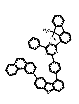 CC1(C)c2ccccc2-c2cccc(-c3nc(-c4ccccc4)nc(-c4ccc(-c5cccc6oc7ccc(-c8ccc9ccc%10ccccc%10c9c8)cc7c56)cc4)n3)c21